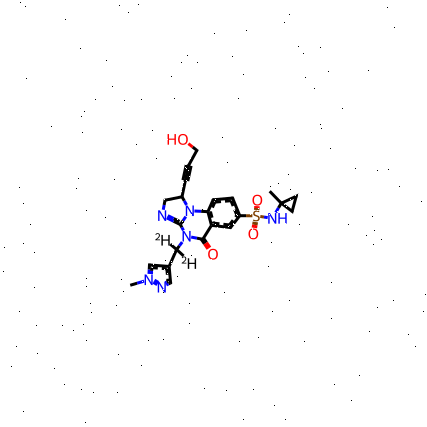 [2H]C([2H])(c1cnn(C)c1)N1C(=O)c2cc(S(=O)(=O)NC3(C)CC3)ccc2N2C1=NCC2C#CCO